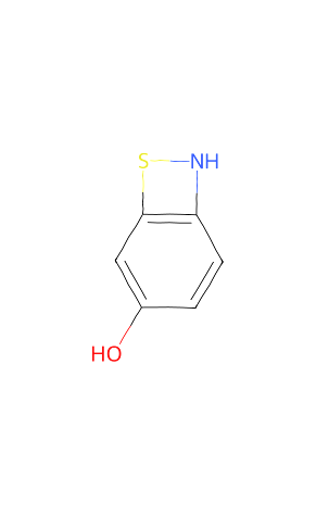 Oc1ccc2[nH]sc2c1